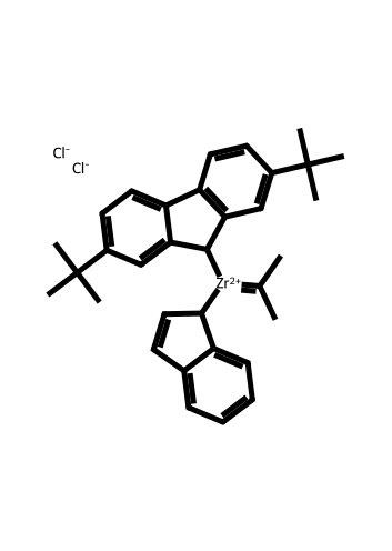 C[C](C)=[Zr+2]([CH]1C=Cc2ccccc21)[CH]1c2cc(C(C)(C)C)ccc2-c2ccc(C(C)(C)C)cc21.[Cl-].[Cl-]